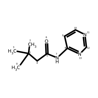 CC(C)(C)CC(=O)Nc1ccncn1